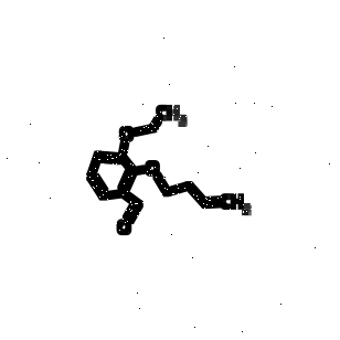 C=CCCOc1c(C=O)cccc1OCC